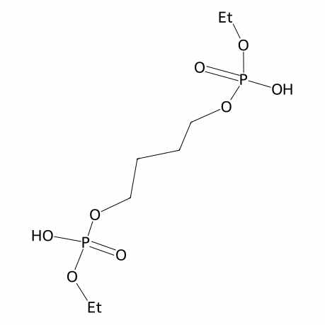 CCOP(=O)(O)OCCCCOP(=O)(O)OCC